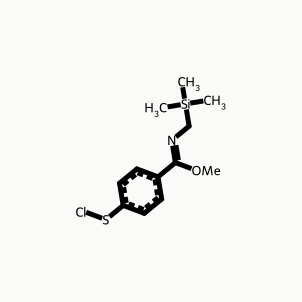 COC(=NC[Si](C)(C)C)c1ccc(SCl)cc1